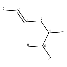 CC=CCC(C)C(C)C